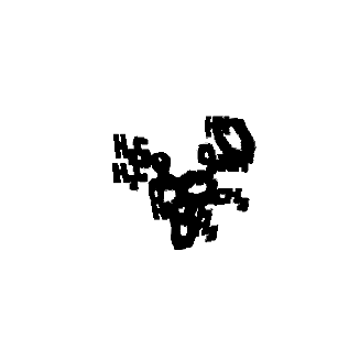 CC(C)OC(=O)C1=CN(C(=O)N[C@H]2CCCNC2)CC(C)(C)c2c1[nH]c1ccccc21